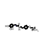 CS(=O)(=O)CCOc1ccc(CCNC(=O)/C=C/c2ccc(O)c(O)c2)cc1